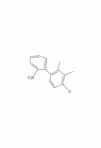 Cc1c([O])ccc(-c2ccccc2[N+](=O)[O-])c1C